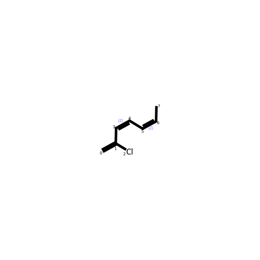 C=C(Cl)/C=C\C=C/C